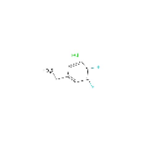 Cl.O=S(=O)(O)Cc1ccc(F)c(F)c1